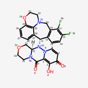 O=C1c2c(O)c(=O)ccn2N([C@H]2c3ccc(F)c(F)c3CN3CCOc4cccc2c43)[C@@H]2COCCN12